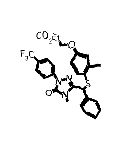 CCOC(=O)COc1ccc(SC(c2ccccc2)c2nn(-c3ccc(C(F)(F)F)cc3)c(=O)n2C)c(C)c1